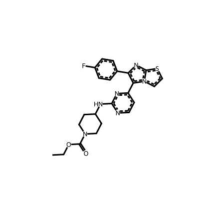 CCOC(=O)N1CCC(Nc2nccc(-c3c(-c4ccc(F)cc4)nc4sccn34)n2)CC1